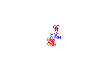 CC(C)(C)OC(=O)N1CCC(C(=O)NC(=N)[C@@H]2CC[C@@H]3CN2C(=O)N3OS(=O)(=O)O)CC1